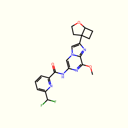 COc1nc(NC(=O)c2cccc(C(F)F)n2)cn2cc(C34CCOC3CC4)nc12